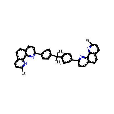 CCc1ccc2ccc3ccc(-c4ccc(C(C)(C)c5ccc(-c6ccc7ccc8ccc(CC)nc8c7n6)cc5)cc4)nc3c2n1